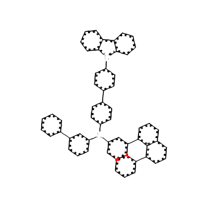 c1ccc(-c2cccc(N(c3ccc(-c4ccc(-n5c6ccccc6c6ccccc65)cc4)cc3)c3cccc(-c4cccc5cccc(-c6ccccc6)c45)c3)c2)cc1